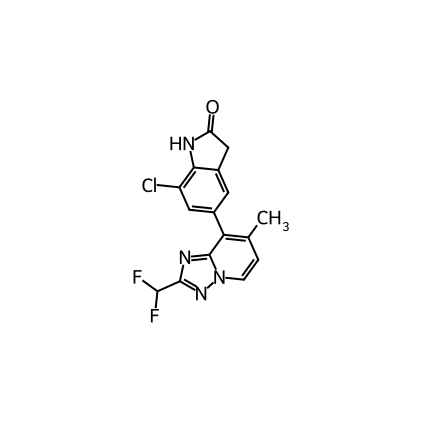 Cc1ccn2nc(C(F)F)nc2c1-c1cc(Cl)c2c(c1)CC(=O)N2